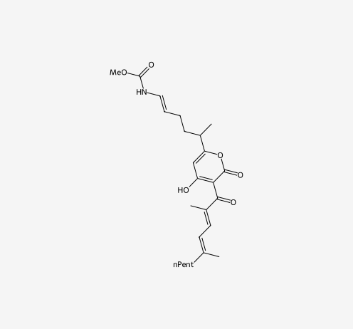 CCCCC/C(C)=C/C=C(\C)C(=O)c1c(O)cc(C(C)CC/C=C/NC(=O)OC)oc1=O